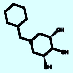 OC1[C@H](O)CN(CC2CCCCC2)C[C@@H]1O